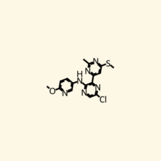 COc1ccc(Nc2ncc(Cl)nc2-c2cc(SC)nc(C)n2)cn1